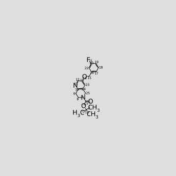 CC(C)(C)OC(=O)N1CCc2ncc(OCc3cccc(F)c3)cc2C1